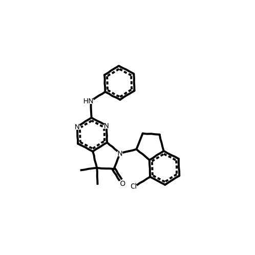 CC1(C)C(=O)N(C2CCc3cccc(Cl)c32)c2nc(Nc3ccccc3)ncc21